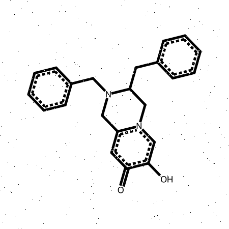 O=c1cc2n(cc1O)CC(Cc1ccccc1)N(Cc1ccccc1)C2